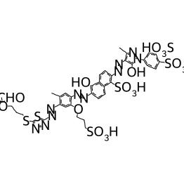 Cc1cc(N=Nc2ccc3c(S(=O)(=O)O)c(N=Nc4c(C)nn(-c5ccc(S(=O)(=O)O)cc5S(=O)(=O)O)c4O)ccc3c2O)c(OCCCS(=O)(=O)O)cc1N=Nc1nnc(SCCCOC=O)s1